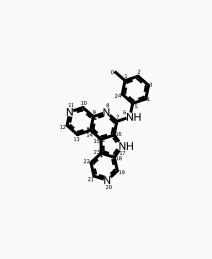 Cc1cccc(Nc2nc3cnccc3c3c2[nH]c2cnccc23)c1